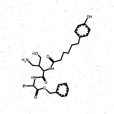 CC(C)C(NC(=O)C(NC(=O)CCCCCc1ccc(O)cc1)C(CN)CO)C(=O)OCc1ccccc1